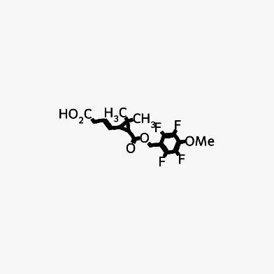 COc1c(F)c(F)c(COC(=O)C2C(/C=C/CC(=O)O)C2(C)C)c(F)c1F